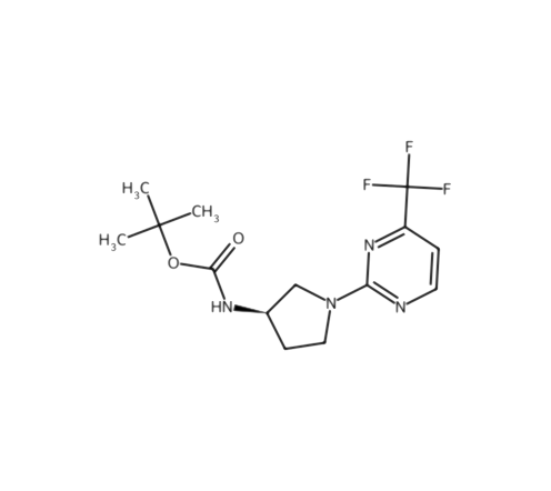 CC(C)(C)OC(=O)N[C@@H]1CCN(c2nccc(C(F)(F)F)n2)C1